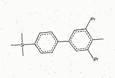 Cc1c(C(C)C)cc(-c2ccc([Si](C)(C)C)cc2)cc1C(C)C